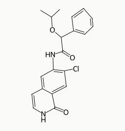 CC(C)OC(C(=O)Nc1cc2cc[nH]c(=O)c2cc1Cl)c1ccccc1